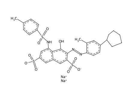 Cc1ccc(S(=O)(=O)Nc2cc(S(=O)(=O)[O-])cc3cc(S(=O)(=O)[O-])c(N=Nc4ccc(C5CCCCC5)cc4C)c(O)c23)cc1.[Na+].[Na+]